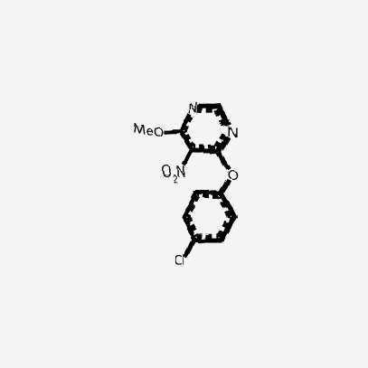 COc1ncnc(Oc2ccc(Cl)cc2)c1[N+](=O)[O-]